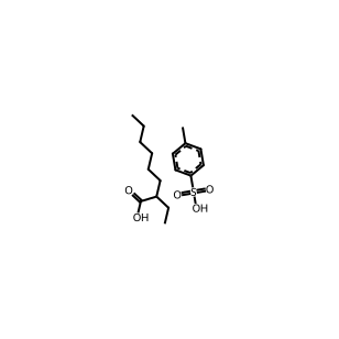 CCCCCCC(CC)C(=O)O.Cc1ccc(S(=O)(=O)O)cc1